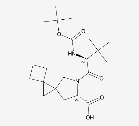 CC(C)(C)OC(=O)N[C@H](C(=O)N1CC2(C[C@H]1C(=O)O)CC21CCC1)C(C)(C)C